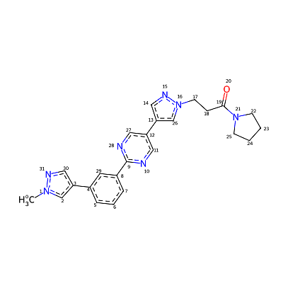 Cn1cc(-c2cccc(-c3ncc(-c4cnn(CCC(=O)N5CCCC5)c4)cn3)c2)cn1